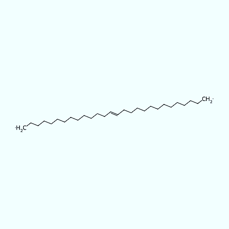 [CH2]CCCCCCCCCCCC/C=C/CCCCCCCCCCCC[CH2]